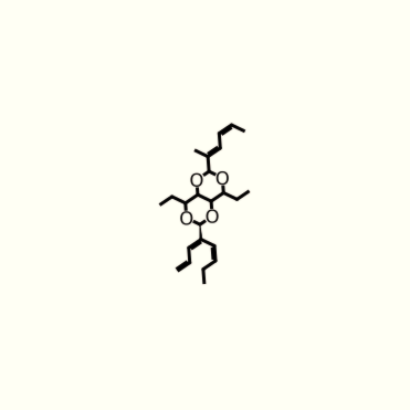 C=C/C=C(\C=C/CC)[C@H]1OC(CC)C2OC(/C(C)=C/C=C\C)OC(CC)C2O1